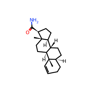 C[C@]12C=CCC[C@@H]1CC[C@@H]1[C@@H]2CC[C@]2(C)[C@@H](C(N)=O)CC[C@@H]12